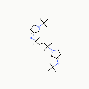 CC(C)(C)N[C@H]1CCN(C(C)(C)CCC(C)(C)N[C@@H]2CCN(C(C)(C)C)C2)C1